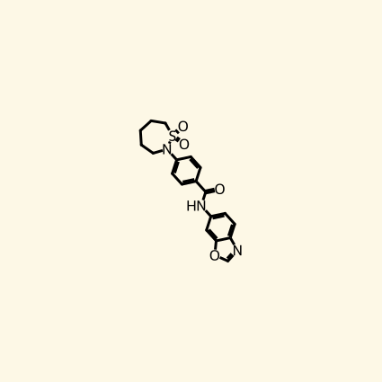 O=C(Nc1ccc2ncoc2c1)c1ccc(N2CCCCCS2(=O)=O)cc1